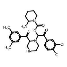 Cc1cc(C)cc(C(=O)C2CNCCN2C(OC(=O)N2CCCCC2N)C(=O)c2ccc(Cl)c(Cl)c2)c1